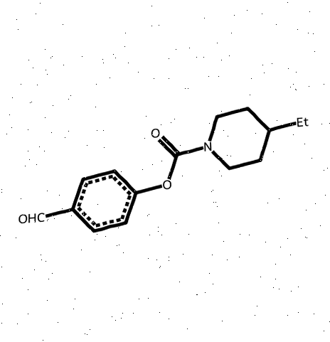 CCC1CCN(C(=O)Oc2ccc(C=O)cc2)CC1